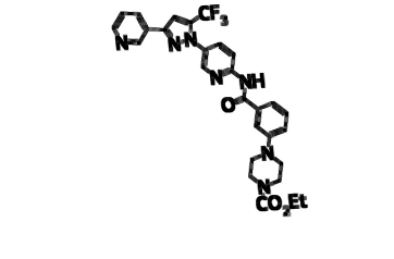 CCOC(=O)N1CCN(c2cccc(C(=O)Nc3ccc(-n4nc(-c5cccnc5)cc4C(F)(F)F)cn3)c2)CC1